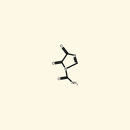 NC(=O)N1C=NC(=O)C1=O